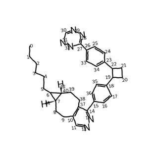 CCCCCCC1[C@H]2CCc3cnnc(-c4ccc(C5CCC5c5ccc(-c6nncnn6)cc5)cc4)c3CC[C@@H]12